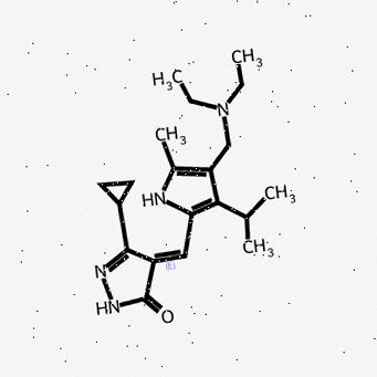 CCN(CC)Cc1c(C)[nH]c(/C=C2/C(=O)NN=C2C2CC2)c1C(C)C